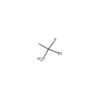 CCC(C)(F)P